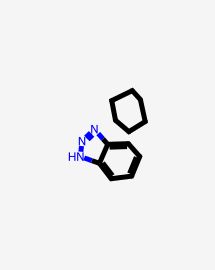 C1CCCCC1.c1ccc2[nH]nnc2c1